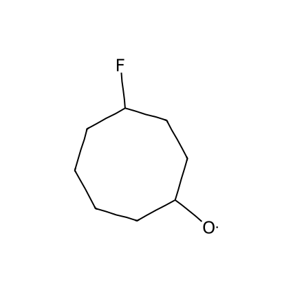 [O]C1CCCCC(F)CC1